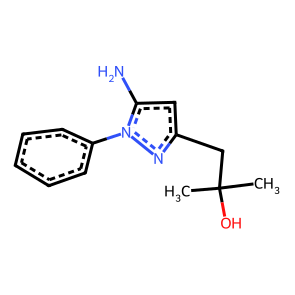 CC(C)(O)Cc1cc(N)n(-c2ccccc2)n1